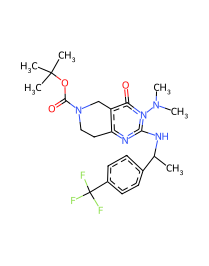 CC(Nc1nc2c(c(=O)n1N(C)C)CN(C(=O)OC(C)(C)C)CC2)c1ccc(C(F)(F)F)cc1